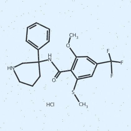 COc1cc(C(F)(F)F)cc(SC)c1C(=O)NC1(c2ccccc2)CCCNC1.Cl